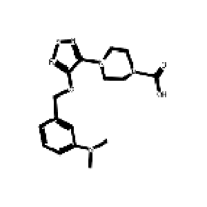 CN(C)c1cccc(COc2nsnc2N2CCN(C(=O)O)CC2)c1